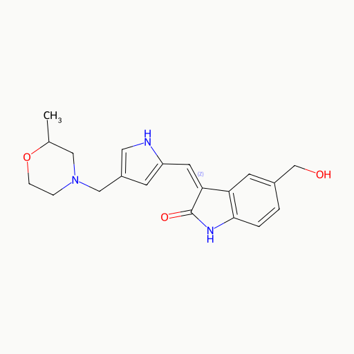 CC1CN(Cc2c[nH]c(/C=C3\C(=O)Nc4ccc(CO)cc43)c2)CCO1